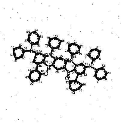 c1ccc(N(c2ccccc2)c2cc3c4c(c2)N(c2ccccc2)c2cc5c(cc2B4Oc2ccccc2-3)B2Oc3ccccc3-c3cc(N(c4ccccc4)c4ccccc4)cc(c32)N5c2ccccc2)cc1